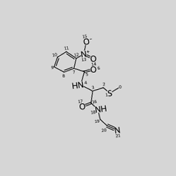 CSCC(NC(=O)c1ccccc1[N+](=O)[O-])C(=O)NCC#N